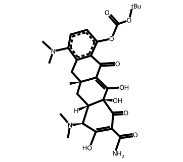 CN(C)c1ccc(OC(=O)OC(C)(C)C)c2c1C[C@@]1(C)C[C@H]3[C@H](N(C)C)C(O)=C(C(N)=O)C(=O)[C@@]3(O)C(O)=C1C2=O